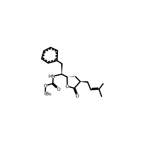 CC(C)=CC[C@@H]1C[C@@H]([C@H](Cc2ccccc2)NC(=O)OC(C)(C)C)OC1=O